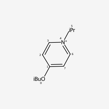 CC(C)COc1cc[n+](C(C)C)cc1